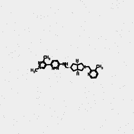 Cc1cccnc1CN1C[C@H]2C[C@H](CNc3ccc(-c4cn(C)nc4C)nn3)C[C@H]2C1